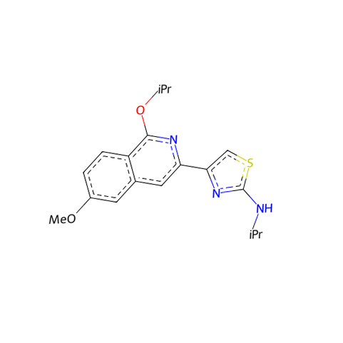 COc1ccc2c(OC(C)C)nc(-c3csc(NC(C)C)n3)cc2c1